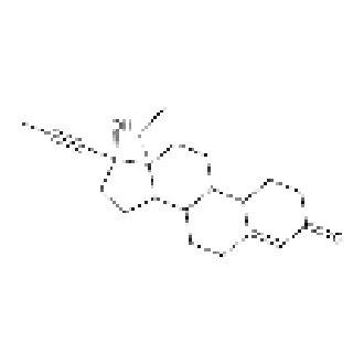 CC#C[C@]1(O)CCC2C3CCC4=CC(=O)CCC4C3CC[C@@]21CC